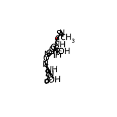 Cc1ncsc1C12CC(CNC(=O)[C@@H]3C[C@@H](O)CN3C(=O)[C@@H](c3cc(OCCN4CC(c5cc6cc(-c7ccccc7O)nnc6[nH]5)C4)no3)C(C)C)(C1)C2